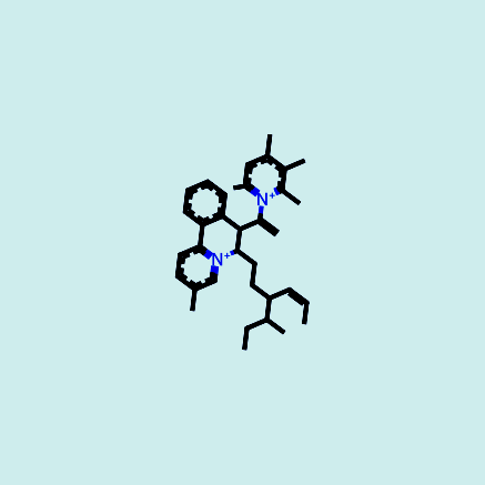 C=C(C1c2ccccc2-c2ccc(C)c[n+]2C1CCC(/C=C\C)C(C)CC)[n+]1c(C)cc(C)c(C)c1C